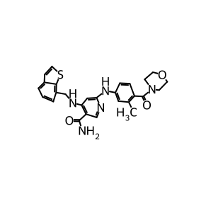 Cc1cc(Nc2cc(NCc3cccc4ccsc34)c(C(N)=O)cn2)ccc1C(=O)N1CCOCC1